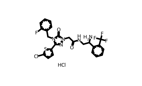 Cl.NC(CNC(=O)Cn1nc(-c2ccc(Cl)s2)n(Cc2ccccc2F)c1=O)c1ccccc1C(F)(F)F